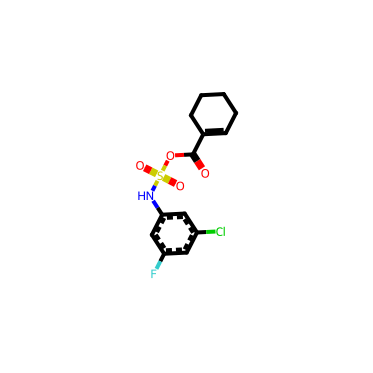 O=C(OS(=O)(=O)Nc1cc(F)cc(Cl)c1)C1=CCCCC1